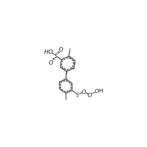 Cc1ccc(-c2ccc(C)c(S(=O)(=O)O)c2)cc1SOOO